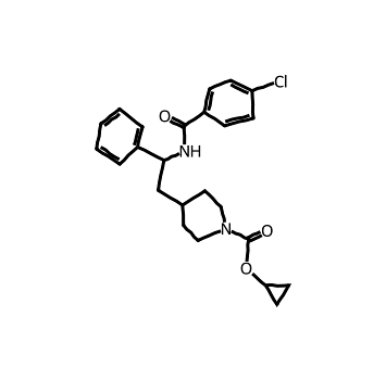 O=C(NC(CC1CCN(C(=O)OC2CC2)CC1)c1ccccc1)c1ccc(Cl)cc1